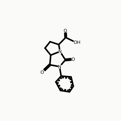 O=C(O)C1CCC2C(=O)N(c3ccccc3)C(=O)N12